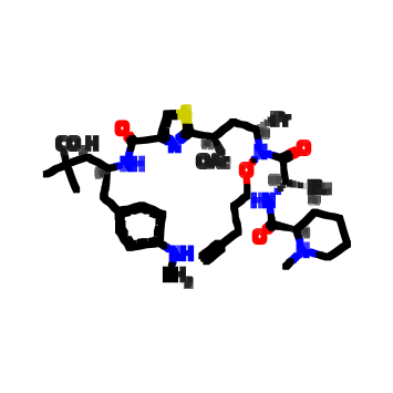 BNc1ccc(C[C@@H](CC(C)(C)C(=O)O)NC(=O)c2csc([C@@H](C[C@H](C(C)C)N(OCCCC#C)C(=O)[C@@H](NC(=O)[C@H]3CCCCN3C)[C@@H](C)CC)OC(C)=O)n2)cc1